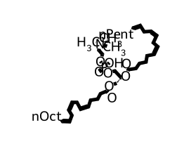 CCCCC/C=C\C/C=C\C/C=C\CCCCC(=O)O[C@H](COC(=O)CCC/C=C\C/C=C\C/C=C\CCCCCCCC)COP(=O)(O)OCC[N+](C)(C)C